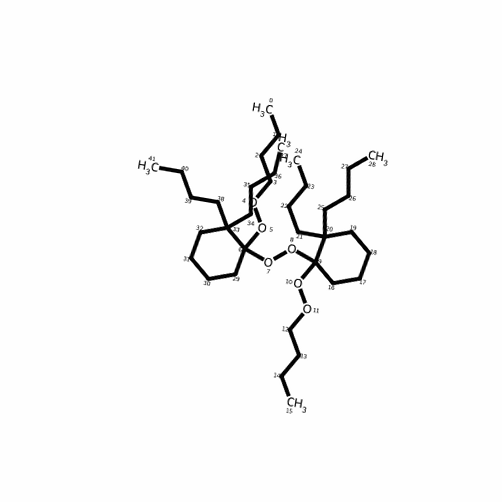 CCCCOOC1(OOC2(OOCCCC)CCCCC2(CCCC)CCCC)CCCCC1(CCCC)CCCC